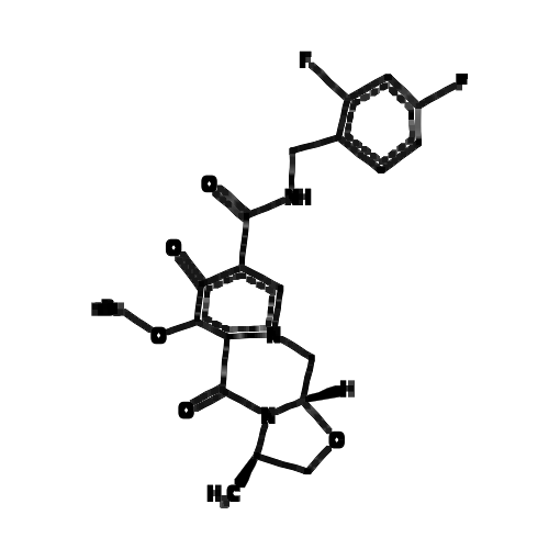 CCCCOc1c2n(cc(C(=O)NCc3ccc(F)cc3F)c1=O)C[C@@H]1OC[C@@H](C)N1C2=O